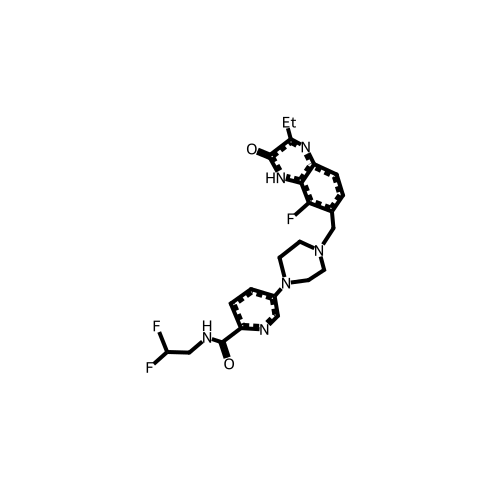 CCc1nc2ccc(CN3CCN(c4ccc(C(=O)NCC(F)F)nc4)CC3)c(F)c2[nH]c1=O